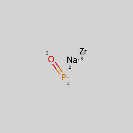 O=[P].[Na].[Zr]